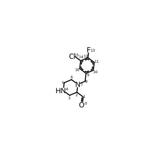 O=CC1CNCCN1Cc1ccc(F)c(Cl)c1